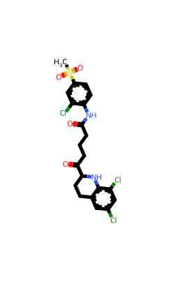 CS(=O)(=O)c1ccc(NC(=O)CCCC(=O)C2CCc3cc(Cl)cc(Cl)c3N2)c(Cl)c1